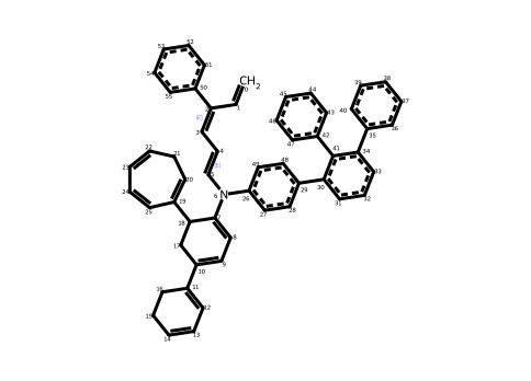 C=C/C(=C\C=C\N(C1=CC=C(C2=CC=CCC2)CC1C1=CCC=CC=C1)c1ccc(-c2cccc(-c3ccccc3)c2-c2ccccc2)cc1)c1ccccc1